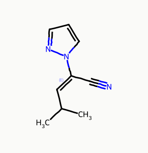 CC(C)/C=C(\C#N)n1cccn1